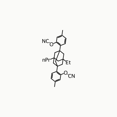 CCCC12CC3(CC)CC(c4ccc(C)cc4OC#N)(C1)CC(c1ccc(C)cc1OC#N)(C3)C2